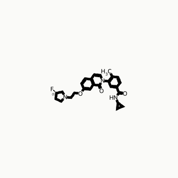 Cc1ccc(C(=O)NC2CC2)cc1-n1ccc2ccc(OCCN3CC[C@H](F)C3)cc2c1=O